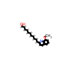 COc1cccc2ccc(CCCCCCCCCCCO)nc12